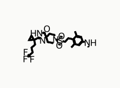 CNc1cc(C)c(CCS(=O)(=O)N2CCC3(CC2)N=C(C2(CCCC(F)(F)F)CC2)NC3=O)c(C)c1